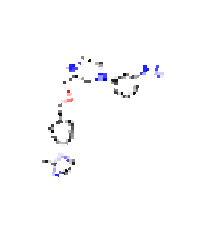 Cc1nccn1-c1ccc(COCC2CN(c3cccc(N)c3)CCN2)cc1